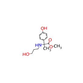 COC(=O)C(C)(NCCCO)c1ccc(O)cc1